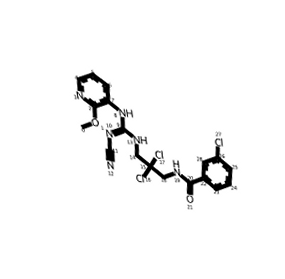 COc1ncccc1NC(=NC#N)NCC(Cl)(Cl)CNC(=O)c1cccc(Cl)c1